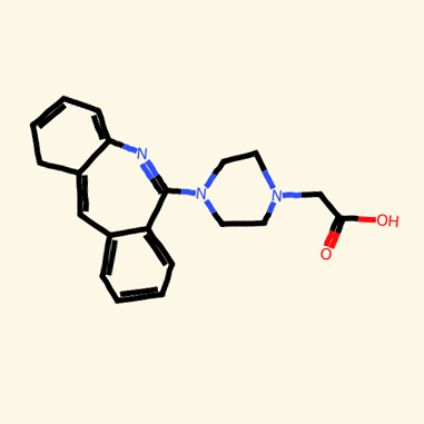 O=C(O)CN1CCN(C2=NC3=CC=CCC3=Cc3ccccc32)CC1